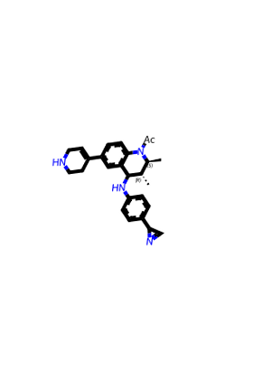 CC(=O)N1c2ccc(C3=CCNCC3)cc2C(Nc2ccc(C3C=N3)cc2)[C@@H](C)[C@@H]1C